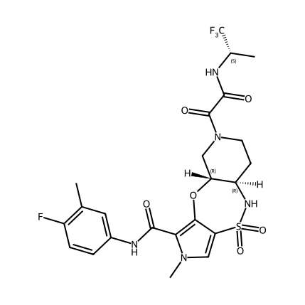 Cc1cc(NC(=O)c2c3c(cn2C)S(=O)(=O)N[C@@H]2CCN(C(=O)C(=O)N[C@@H](C)C(F)(F)F)C[C@H]2O3)ccc1F